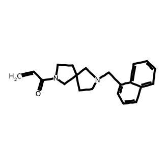 C=CC(=O)N1CCC2(CCN(Cc3cccc4ccccc34)C2)C1